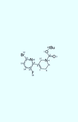 CC(C)(C)OC(=O)N1CCC=C(c2nc(Br)ccc2F)C1